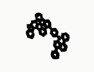 C1=Cc2oc3ccc4c(c3c2CC1)-c1ccccc1C41c2ccccc2-c2ccc(-c3ccc(N(c4ccc(-c5ccccc5)cc4)c4ccccc4-c4ccccc4)cc3)cc21